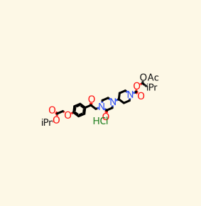 CC(=O)OC(OC(=O)N1CCC(N2CCN(CC(=O)c3ccc(OCC(=O)OC(C)C)cc3)C(=O)C2)CC1)C(C)C.Cl